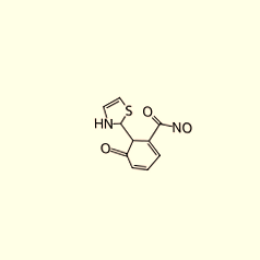 O=NC(=O)C1=CC=CC(=O)C1C1NC=CS1